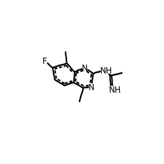 CC(=N)Nc1nc(C)c2ccc(F)c(C)c2n1